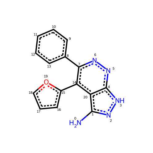 Nc1n[nH]c2nnc(-c3ccccc3)c(-c3ccco3)c12